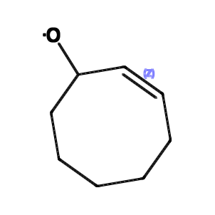 [O]C1/C=C\CCCCC1